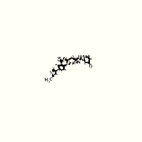 Cn1cc(-c2ccc3[nH]c(Cc4nc(-c5cc(=O)cc[nH]5)no4)nc(=O)c3c2)cn1